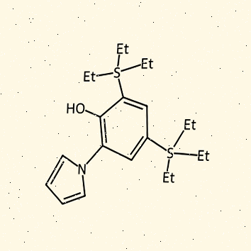 CCS(CC)(CC)c1cc(-n2cccc2)c(O)c(S(CC)(CC)CC)c1